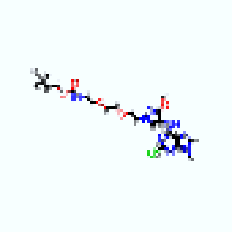 COc1nn(CCOCCOCCNC(=O)OCC[Si](C)(C)C)cc1Nc1nc(Cl)nc2c1ncn2C